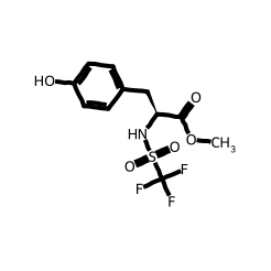 COC(=O)[C@H](Cc1ccc(O)cc1)NS(=O)(=O)C(F)(F)F